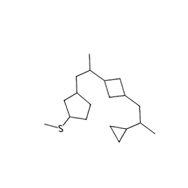 CSC1CCC(CC(C)C2CC(CC(C)C3CC3)C2)C1